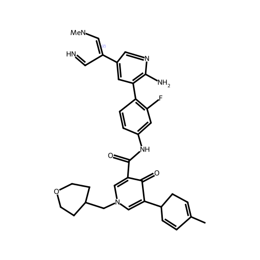 CN/C=C(\C=N)c1cnc(N)c(-c2ccc(NC(=O)c3cn(CC4CCOCC4)cc(C4C=CC(C)=CC4)c3=O)cc2F)c1